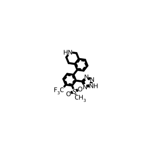 CS(=O)(=O)c1c(C(F)(F)F)ccc(-c2cccc3c2CCNC3)c1-c1nn[nH]n1